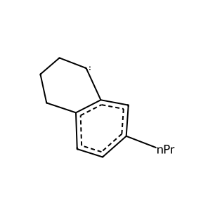 CCCc1ccc2c(c1)[C]CCC2